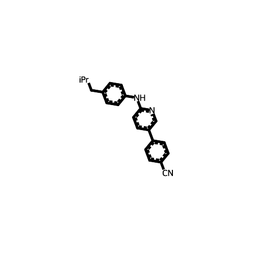 CC(C)Cc1ccc(Nc2ccc(-c3ccc(C#N)cc3)cn2)cc1